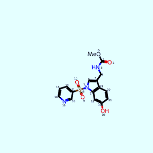 COC(=O)NCc1cn(S(=O)(=O)c2cccnc2)c2cc(O)ccc12